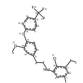 CCc1nc(C)nc(NCCc2ccc(Oc3ccc(C(F)(F)F)cn3)c(OC)c2)c1Cl